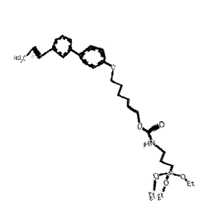 CCO[Si](CCCNC(=O)OCCCCCCOc1ccc(-c2cccc(/C=C/C(=O)O)c2)cc1)(OCC)OCC